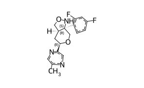 Cc1cnc([C@H]2C[C@H]3CON[C@@]3(c3ccc(F)cc3F)CO2)cn1